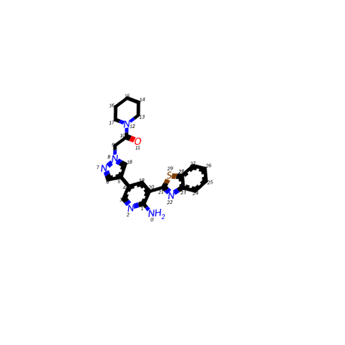 Nc1ncc(-c2cnn(CC(=O)N3CCCCC3)c2)cc1-c1nc2ccccc2s1